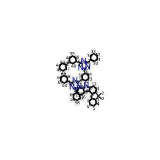 CC1(C)c2ccccc2-c2c1ccc1c2c2ccccc2n1-c1ccc(-c2nc(-c3ccccc3)nc(-c3cccc(-c4ccccc4)c3)n2)cc1-c1nc(-c2ccccc2)nc(-c2ccccc2)n1